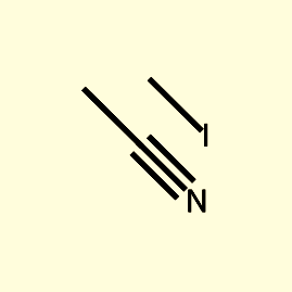 CC#N.CI